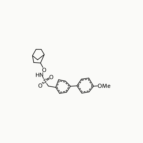 COc1ccc(-c2ccc(CS(=O)(=O)NOC3CC4CCC3C4)cc2)cc1